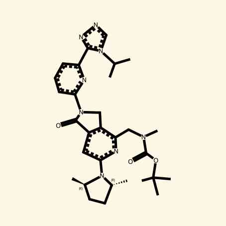 CC(C)n1cnnc1-c1cccc(N2Cc3c(cc(N4[C@H](C)CC[C@H]4C)nc3CN(C)C(=O)OC(C)(C)C)C2=O)n1